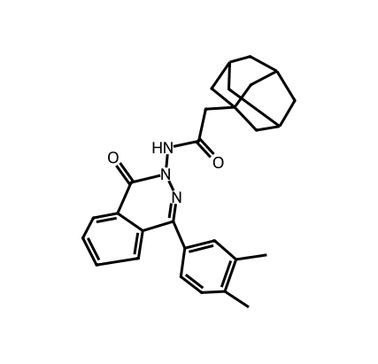 Cc1ccc(-c2nn(NC(=O)CC34CC5CC(CC(C5)C3)C4)c(=O)c3ccccc23)cc1C